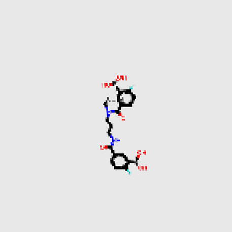 O=C(O)CN(CCCNC(=O)c1ccc(F)c(B(O)O)c1)C(=O)c1ccc(F)c(B(O)O)c1